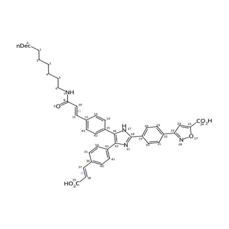 CCCCCCCCCCCCCCCCNC(=O)/C=C/c1ccc(-c2[nH]c(-c3ccc(-c4cc(C(=O)O)on4)cc3)nc2-c2ccc(/C=C/C(=O)O)cc2)cc1